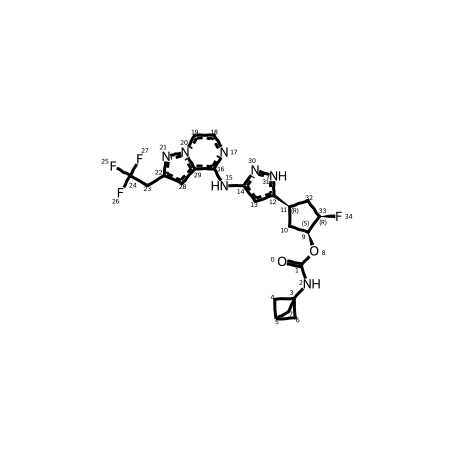 O=C(NC12CC(C1)C2)O[C@H]1C[C@@H](c2cc(Nc3nccn4nc(CC(F)(F)F)cc34)n[nH]2)C[C@H]1F